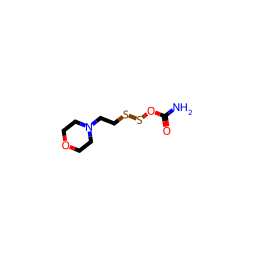 NC(=O)OSSCCN1CCOCC1